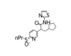 CCC[S+]([O-])c1ccc(C(CC2CCCC2)C(=O)Nc2nccs2)cn1